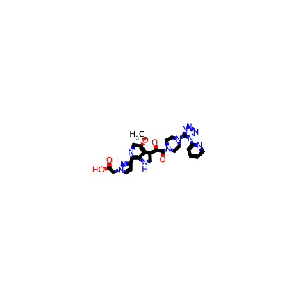 COc1cnc(-c2ccn(CC(=O)O)n2)c2c1C(C(=O)C(=O)N1CCN(c3nnnn3-c3ccccn3)CC1)CN2